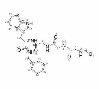 O=CNCC(=O)NCC(=O)NCC(=O)NC(Cc1c[nH]c2ccccc12)C(=O)NCc1ccccc1